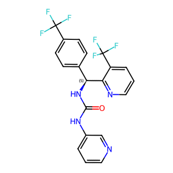 O=C(Nc1cccnc1)N[C@@H](c1ccc(C(F)(F)F)cc1)c1ncccc1C(F)(F)F